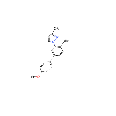 CCOc1ccc(-c2ccc(C(C)CC)c(-n3ccc(C)n3)c2)cc1